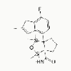 CC1=Cc2c(C34CCCC3(C([NH])=O)[Si](C)(C)O[Si]4(C)C)ccc(F)c2C1